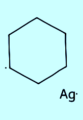 [Ag].[CH]1CCCCC1